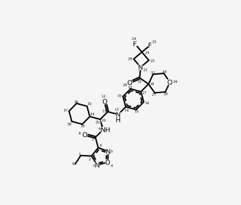 CCc1nonc1C(=O)N[C@H](C(=O)Nc1ccc(C2(C(=O)N3CC(F)(F)C3)CCOCC2)cc1)C1CCCCC1